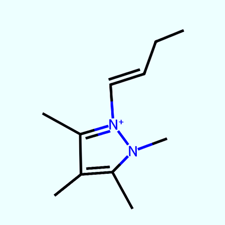 CCC=C[n+]1c(C)c(C)c(C)n1C